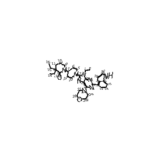 CCn1c(N2CCC(N3CCCC(CC)(CC)C3=O)CC2)nc2c(N3CCOCC3)nc(-c3cccc4[nH]ccc34)nc21